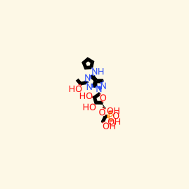 CC(O)c1nc(NC2CCCC2)c2cnn([C@@H]3O[C@H](COC(CO)P(=O)(O)O)[C@@H](O)[C@H]3O)c2n1